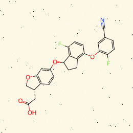 N#Cc1ccc(F)c(Oc2ccc(F)c3c2CC[C@H]3Oc2ccc3c(c2)OC[C@H]3CC(=O)O)c1